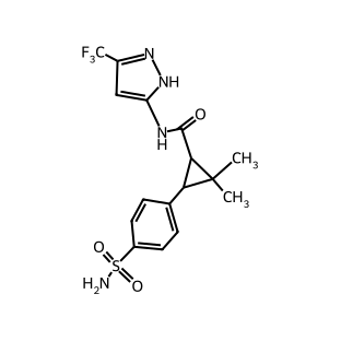 CC1(C)C(C(=O)Nc2cc(C(F)(F)F)n[nH]2)C1c1ccc(S(N)(=O)=O)cc1